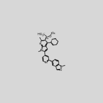 Cc1nc2c(cc(-c3ccnc(-c4ccc5c(cnn5C)c4)c3)n2C)c(C2=CCCCC2)c1[C@H](OC(C)(C)C)C(=O)O